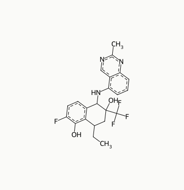 CCC1CC(O)(C(F)(F)F)C(Nc2cccc3nc(C)ncc23)c2ccc(F)c(O)c21